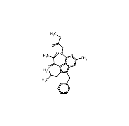 COC(=O)COc1nc(C)cn2c(Cc3ccccc3)c(CC(C)C)c(C(=O)C(N)=O)c12